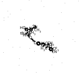 C=C1N(c2ccc(C#N)c(C(F)(F)F)c2F)C(=O)C(C)(C)N1c1ccc(-c2ccc(OCCCCOCC(=O)N[C@H](C(=O)N3C[C@H](O)C[C@H]3c3nc(-c4scnc4C)cn3C)C(C)(C)C)cc2)nc1